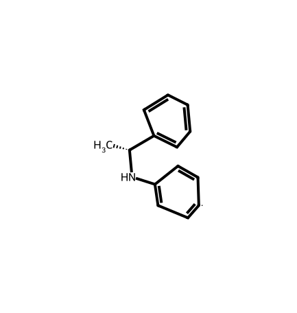 C[C@@H](Nc1cc[c]cc1)c1ccccc1